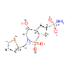 NS(=O)(=O)c1cc2c(s1)S(=O)(=O)N(Cc1cccs1)CC2O